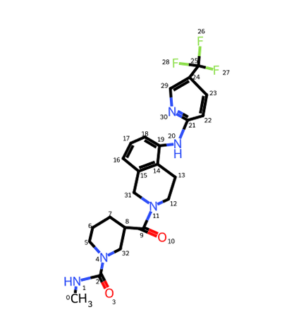 CNC(=O)N1CCCC(C(=O)N2CCc3c(cccc3Nc3ccc(C(F)(F)F)cn3)C2)C1